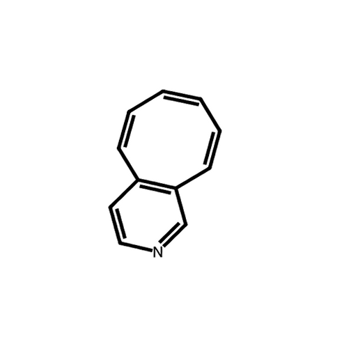 C1=C\C=C/c2cnccc2\C=C/1